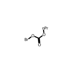 CCCOC(=O)OBr